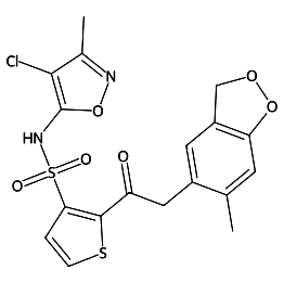 Cc1cc2c(cc1CC(=O)c1sccc1S(=O)(=O)Nc1onc(C)c1Cl)COO2